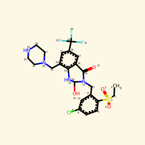 CCS(=O)(=O)c1ccc(Cl)cc1CN1C(=O)c2cc(C(F)(F)F)cc(CN3CCNCC3)c2NC1O